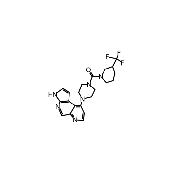 O=C(N1CCN(c2ccnc3cnc4[nH]ccc4c23)CC1)N1CCCC(C(F)(F)F)C1